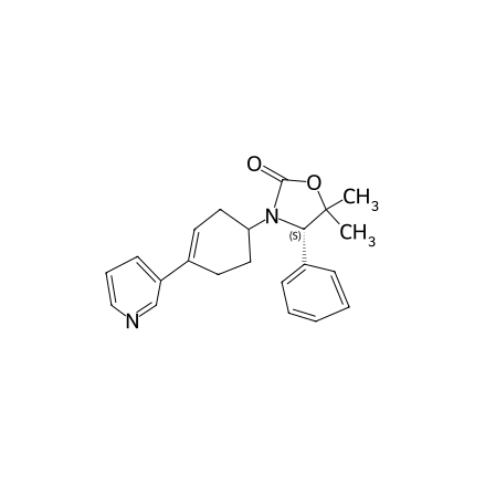 CC1(C)OC(=O)N(C2CC=C(c3cccnc3)CC2)[C@H]1c1ccccc1